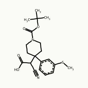 CSc1cccc(C2(C(C#N)C(=O)O)CCN(C(=O)OC(C)(C)C)CC2)c1